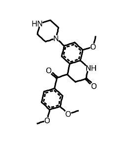 COc1ccc(C(=O)C2CC(=O)Nc3c(OC)cc(N4CCNCC4)cc32)cc1OC